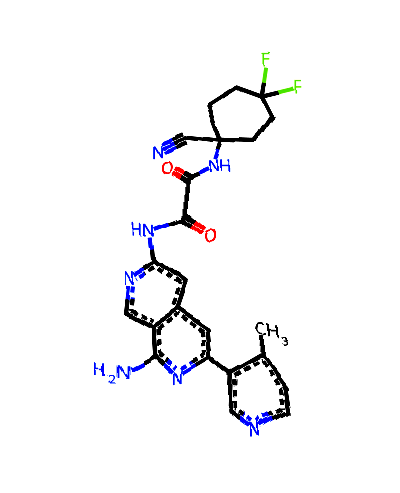 Cc1ccncc1-c1cc2cc(NC(=O)C(=O)NC3(C#N)CCC(F)(F)CC3)ncc2c(N)n1